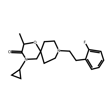 CC1OC2(CCN(CCc3ccccc3F)CC2)CN(C2CC2)C1=O